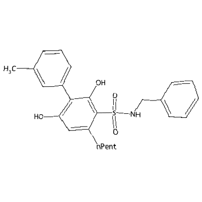 CCCCCc1cc(O)c(-c2cccc(C)c2)c(O)c1S(=O)(=O)NCc1ccccc1